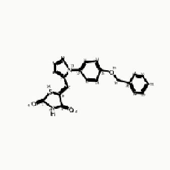 O=C1NC(=O)C(=Cc2cccn2-c2ccc(OCc3ccccc3)cc2)S1